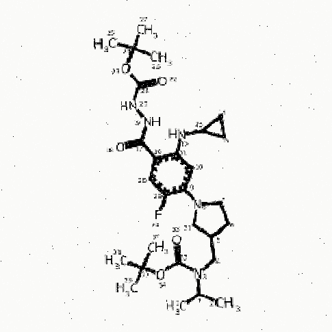 CC(C)N(CC1CCN(c2cc(NC3CC3)c(C(=O)NNC(=O)OC(C)(C)C)cc2F)C1)C(=O)OC(C)(C)C